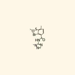 COSc1c(C)ccc(C(=O)Nc2ncnn2C)c1Br